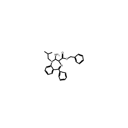 CC(C)CN1c2ccccc2C(c2ccccc2)=NC(C(=O)OCc2ccccc2)C1N